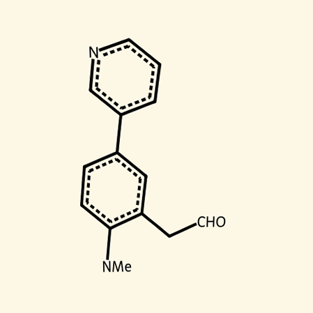 CNc1ccc(-c2cccnc2)cc1CC=O